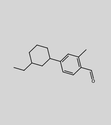 CCC1CCCC(c2ccc(C=O)c(C)c2)C1